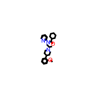 COc1ccccc1C1CCN(C(C)CN(C(=O)C2CCCCC2)c2ccccn2)CC1